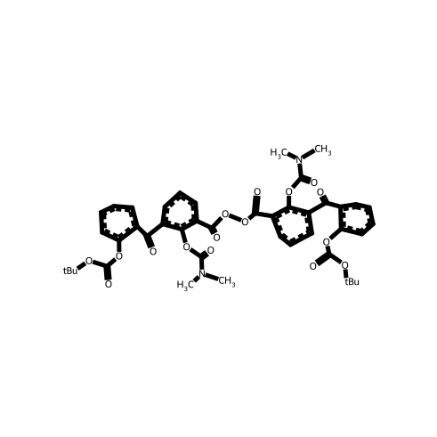 CN(C)C(=O)Oc1c(C(=O)OOC(=O)c2cccc(C(=O)c3ccccc3OC(=O)OC(C)(C)C)c2OC(=O)N(C)C)cccc1C(=O)c1ccccc1OC(=O)OC(C)(C)C